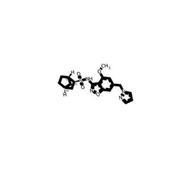 COc1cc(Cn2cccn2)cc2onc(NS(=O)(=O)[C@H]3C[C@H]4CC[C@H]3C4)c12